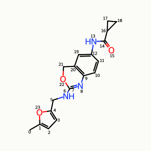 Cc1ccc(CNC2=Nc3ccc(NC(=O)C4CC4)cc3CO2)o1